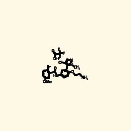 COc1ccc(Br)c(C(=O)Nc2ccc(OCCN)c(-c3c(Cl)cnn3C)c2)c1.O=C(O)C(F)(F)F